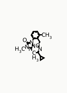 CC(=NOCc1c(C)cccc1-n1nnn(C)c1=O)C1CC1